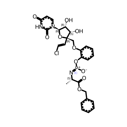 C[C@H](/N=[P+](\[O-])Oc1ccccc1OC[C@@]1(C=CCl)O[C@@H](n2ccc(=O)[nH]c2=O)[C@H](O)[C@@H]1O)C(=O)OCc1ccccc1